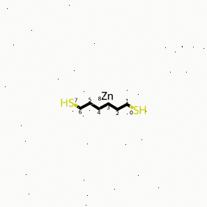 SCCCCCCS.[Zn]